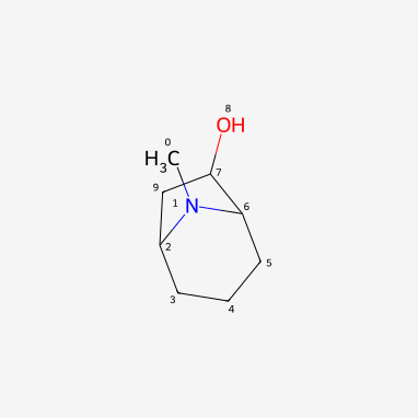 CN1C2CCCC1C(O)C2